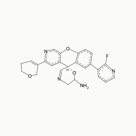 NC1CN=C[C@]2(O1)c1cc(-c3cccnc3F)ccc1Oc1cnc(C3=CCCOC3)cc12